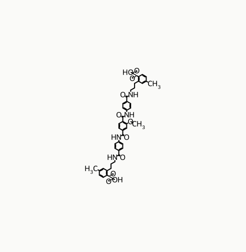 COc1cc(C(=O)Nc2ccc(C(=O)NCCCc3cc(C)ccc3S(=O)(=O)O)cc2)ccc1C(=O)Nc1ccc(C(=O)NCCCc2cc(C)ccc2S(=O)(=O)O)cc1